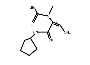 CN(C(=O)C(C)(C)C)/C(=C/N)C(=N)NC1CCCC1